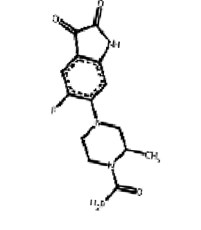 BC(=O)N1CCN(c2cc3c(cc2F)C(=O)C(=O)N3)CC1C